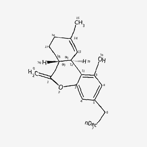 C=C1Oc2cc(CCCCCCCCCCC)cc(O)c2[C@@H]2C=C(C)CC[C@@H]12